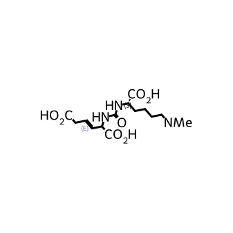 CNCCCC[C@H](NC(=O)NC(/C=C/CC(=O)O)C(=O)O)C(=O)O